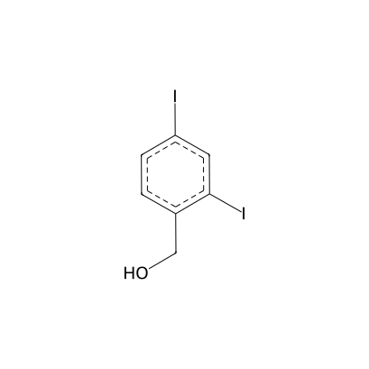 OCc1ccc(I)cc1I